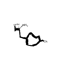 CC(=O)NC[C@H](N)Cc1ccc(C#N)cc1